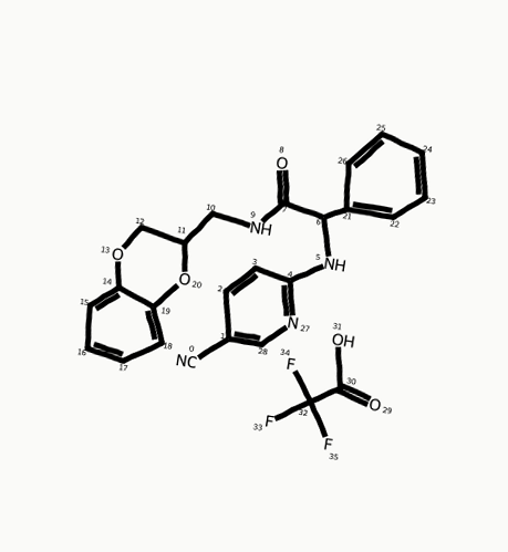 N#Cc1ccc(NC(C(=O)NCC2COc3ccccc3O2)c2ccccc2)nc1.O=C(O)C(F)(F)F